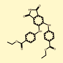 CCOC(=O)c1ccc(Nc2cc3c(cc2Nc2ccc(C(=O)OCC)cc2)C(=O)NC3=O)cc1